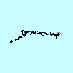 CC(C)CCCCn1cc(COCCOCCOCCOCCC(=O)C(C)C)nn1